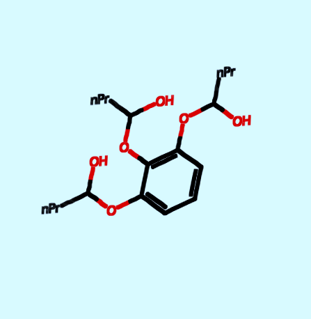 CCCC(O)Oc1cccc(OC(O)CCC)c1OC(O)CCC